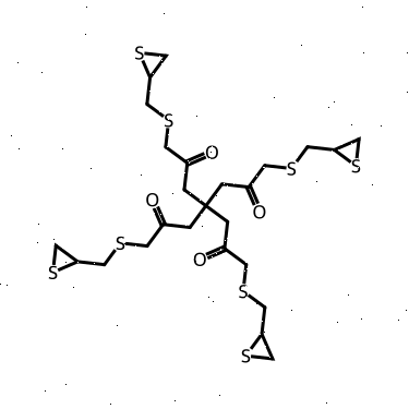 O=C(CSCC1CS1)CC(CC(=O)CSCC1CS1)(CC(=O)CSCC1CS1)CC(=O)CSCC1CS1